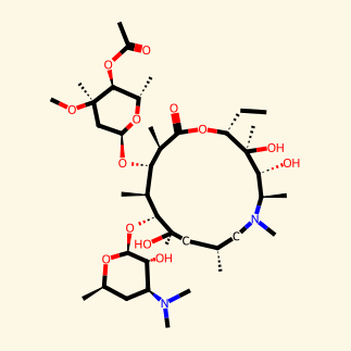 CC[C@H]1OC(=O)[C@H](C)[C@@H](O[C@H]2C[C@@](C)(OC)[C@@H](OC(C)=O)[C@H](C)O2)[C@H](C)[C@@H](O[C@@H]2O[C@H](C)C[C@H](N(C)C)[C@H]2O)[C@](C)(O)C[C@@H](C)CN(C)[C@H](C)[C@@H](O)[C@]1(C)O